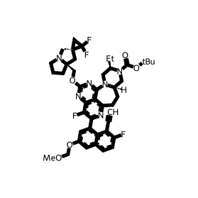 C#Cc1c(F)ccc2cc(OCOC)cc(-c3nc4c5c(nc(OC[C@@]67CCCN6C[C@@]6(CC6(F)F)C7)nc5c3F)N3C[C@@H](CC)N(C(=O)OC(C)(C)C)C[C@H]3CC4)c12